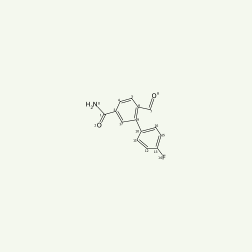 NC(=O)c1ccc(C=O)c(-c2ccc(F)cc2)c1